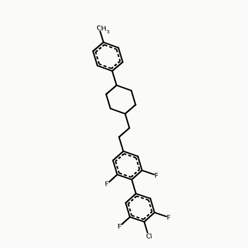 Cc1ccc(C2CCC(CCc3cc(F)c(-c4cc(F)c(Cl)c(F)c4)c(F)c3)CC2)cc1